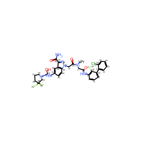 CC(C)N(CC(=O)Nc1cccc(-c2ccccc2Cl)c1F)C(=O)Cn1nc(C(N)=O)c2cc(NC(O)N3CCCC(F)(F)C3)ccc21